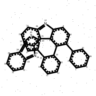 c1ccc(-c2ccc3c(c2-c2ccccc2-c2ccsn2)-c2c4c(ccc2=N3)=c2ccccc2=N4)cc1